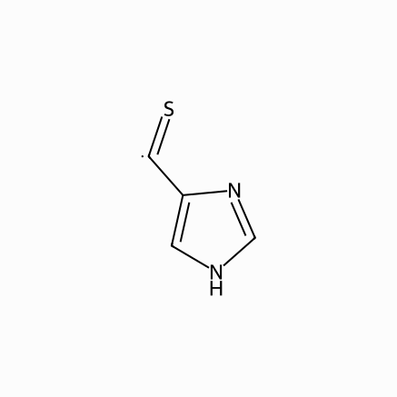 S=[C]c1c[nH]cn1